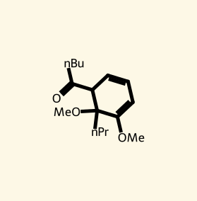 CCCCC(=O)C1C=CC=C(OC)C1(CCC)OC